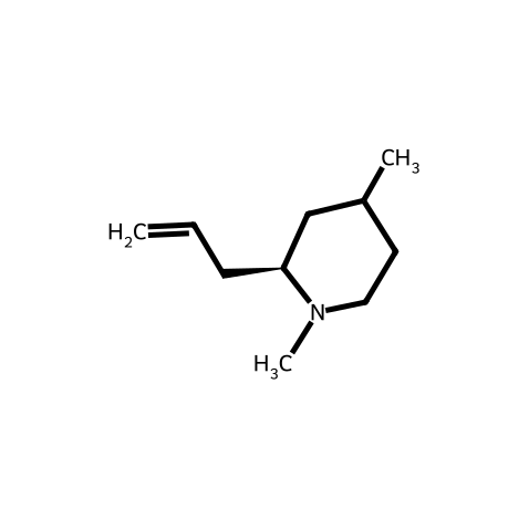 C=CC[C@H]1CC(C)CCN1C